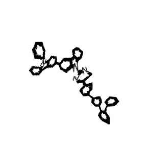 C1=c2c(n(-c3ncc(-c4ccc(-c5ccc(-c6ccccc6-c6ccccc6)cc5)cc4)cn3)c3ccccc23)=CCC1c1ccc2c(c1)c1ccccc1n2-c1ccccc1